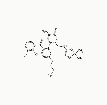 CCSCc1ccc(C(=O)c2cccc(Cl)c2Cl)c(-c2cn(C)c(=O)cc2CNC(=O)OC(C)(C)C)c1